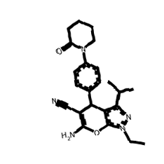 CCn1nc(C(C)C)c2c1OC(N)=C(C#N)C2c1ccc(N2CCCCC2=O)cc1